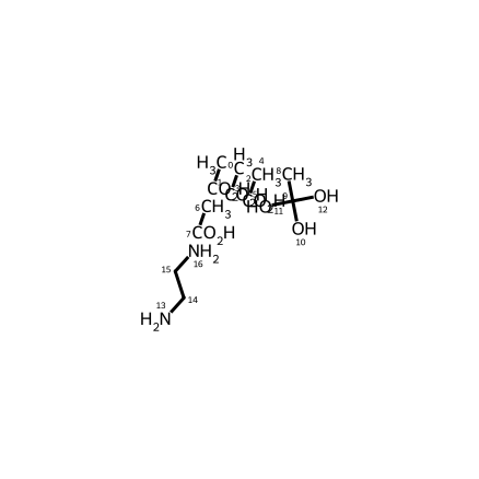 CC(=O)O.CC(=O)O.CC(=O)O.CC(=O)O.CC(O)(O)O.NCCN